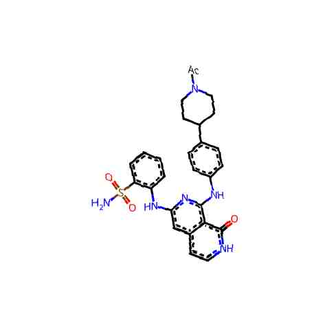 CC(=O)N1CCC(c2ccc(Nc3nc(Nc4ccccc4S(N)(=O)=O)cc4cc[nH]c(=O)c34)cc2)CC1